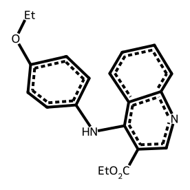 CCOC(=O)c1cnc2ccccc2c1Nc1ccc(OCC)cc1